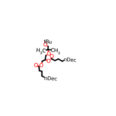 CCCCCCCCCCCCCC(=O)OCC(COC(C)(C)COC(C)(C)C)OC(=O)CCCCCCCCCCCCC